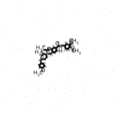 COc1ccc(CN2CCC(N(Cc3ccc(C(=O)NCc4ccc(OC)c(OC)c4)cc3)C(=O)C(C)C)CC2)cc1